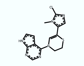 Cn1c(C2=CN(c3ncnc4[nH]ccc34)CCS2)cnc1Cl